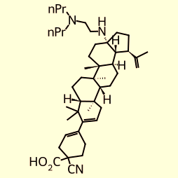 C=C(C)[C@@H]1CC[C@]2(NCCN(CCC)CCC)CC[C@]3(C)[C@H](CC[C@@H]4[C@@]5(C)CC=C(C6=CCC(C#N)(C(=O)O)CC6)C(C)(C)[C@@H]5CC[C@]43C)[C@@H]12